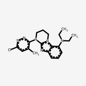 CCN(CC)c1cccc2nc3n(c12)CCCN3c1nnc(Cl)cc1C